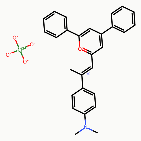 C/C(=C\c1cc(-c2ccccc2)cc(-c2ccccc2)[o+]1)c1ccc(N(C)C)cc1.[O-][Cl+3]([O-])([O-])[O-]